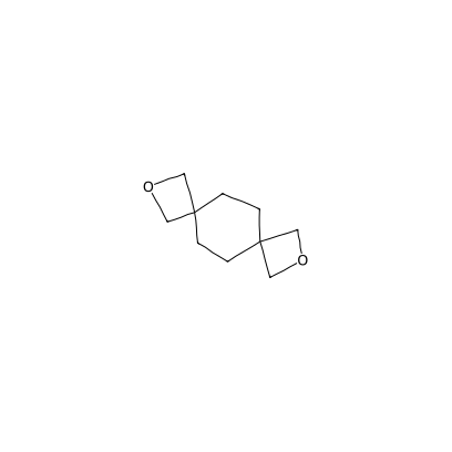 C1CC2(CCC13COC3)COC2